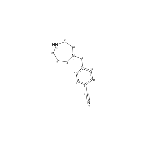 N#Cc1ccc(CN2CCCNCC2)cc1